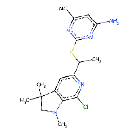 CC(Sc1nc(N)cc(C#N)n1)c1cc2c(c(Cl)n1)N(C)CC2(C)C